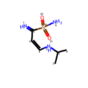 CC(C)N/C=C\C(=N)S(N)(=O)=O